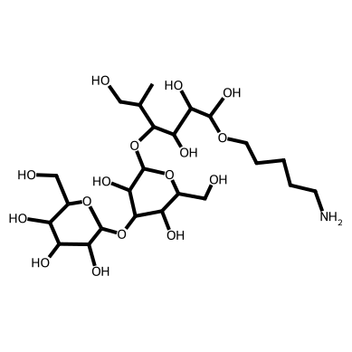 CC(CO)C(OC1OC(CO)C(O)C(OC2OC(CO)C(O)C(O)C2O)C1O)C(O)C(O)C(O)OCCCCCN